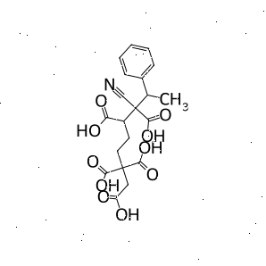 CC(c1ccccc1)C(C#N)(C(=O)O)C(CCC(CC(=O)O)(C(=O)O)C(=O)O)C(=O)O